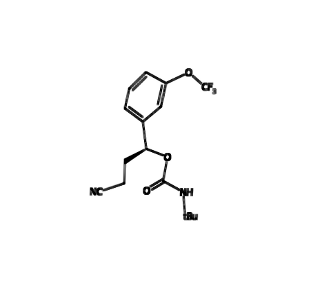 CC(C)(C)NC(=O)O[C@@H](CCC#N)c1cccc(OC(F)(F)F)c1